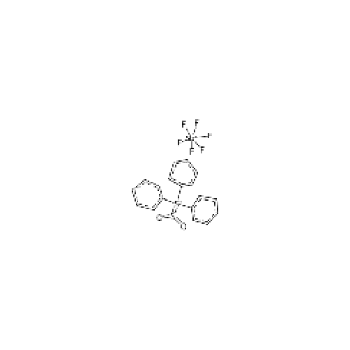 O=S(=O)=[S+](c1ccccc1)(c1ccccc1)c1ccccc1.[F][Sb-]([F])([F])([F])([F])[F]